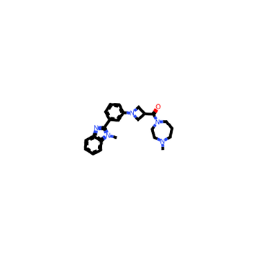 CN1CCCN(C(=O)C2CN(c3cccc(-c4nc5ccccc5n4C)c3)C2)CC1